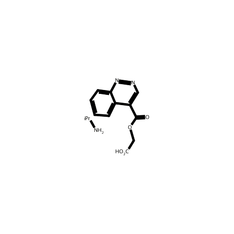 CC(C)N.O=C(O)COC(=O)c1cnnc2ccccc12